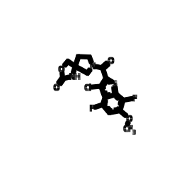 O=C1NC2(CCN(C(=O)c3sc4c(F)c(OC(F)(F)F)cc(F)c4c3Cl)C2)CO1